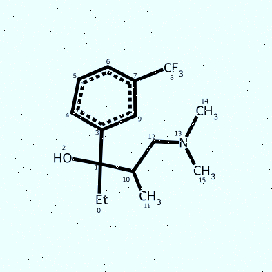 CCC(O)(c1cccc(C(F)(F)F)c1)C(C)CN(C)C